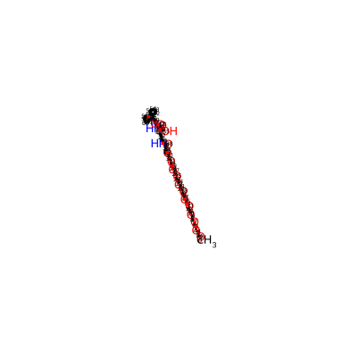 COCCOCCOCCOCCOCCOCCOCCOCCOCCOCCOCCOCCC(=O)NCCCC[C@H](NC(=O)OCC1c2ccccc2-c2ccccc21)C(=O)O